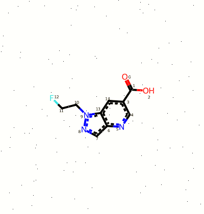 O=C(O)c1cnc2cnn(CCF)c2c1